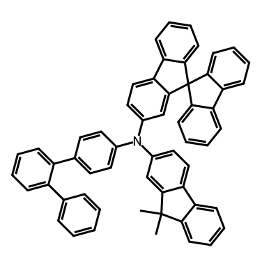 CC1(C)c2ccccc2-c2ccc(N(c3ccc(-c4ccccc4-c4ccccc4)cc3)c3ccc4c(c3)C3(c5ccccc5-c5ccccc53)c3ccccc3-4)cc21